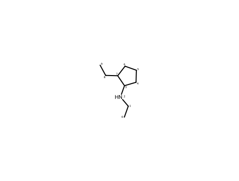 CCNC1CCCC1CC